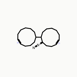 [N-]=[N+]=C1CC/C=C\CCCCCC1C1CCC/C=C\CCCCC1